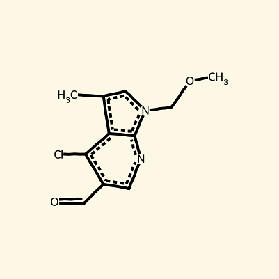 COCn1cc(C)c2c(Cl)c(C=O)cnc21